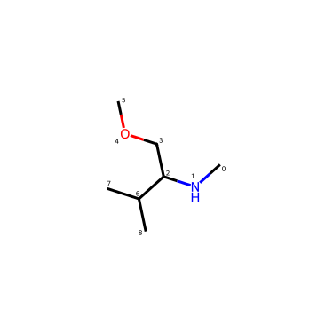 CNC(COC)C(C)C